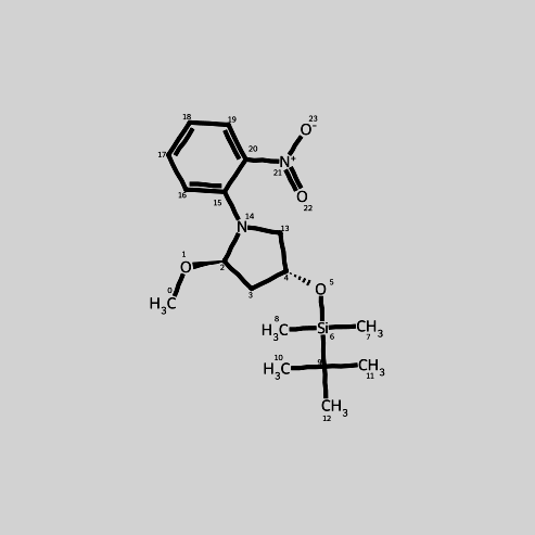 CO[C@@H]1C[C@@H](O[Si](C)(C)C(C)(C)C)CN1c1ccccc1[N+](=O)[O-]